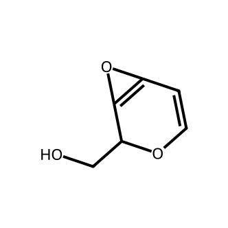 OCC1OC=CC2=C1O2